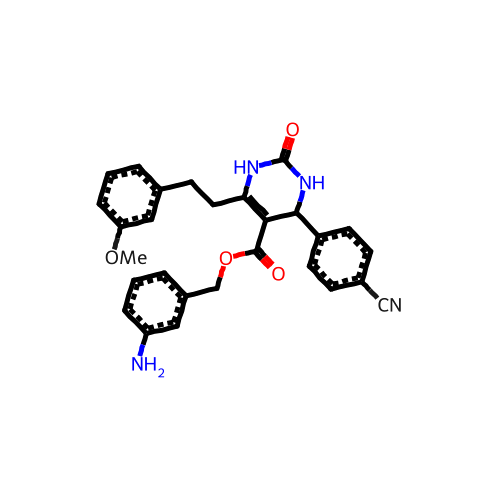 COc1cccc(CCC2=C(C(=O)OCc3cccc(N)c3)C(c3ccc(C#N)cc3)NC(=O)N2)c1